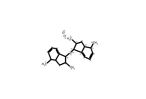 CC1C=CC=C2C1CC(C)[CH]2[Zr+2][CH]1C2=CC=CC(C)C2CC1C.[Cl-].[Cl-]